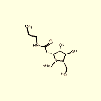 CCCCCCN1[C@H](CO)[C@H](O)[C@@H](O)[C@H]1CC(=O)NCCO